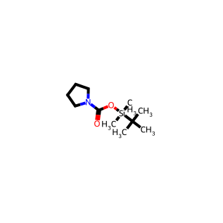 CC(C)(C)[Si](C)(C)OC(=O)N1CCCC1